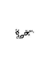 N[C@@H]1[C@H]2CN([C@@H]3CN[C@H](C(=O)N4CCC(F)(F)C4)C3)C[C@@H]12